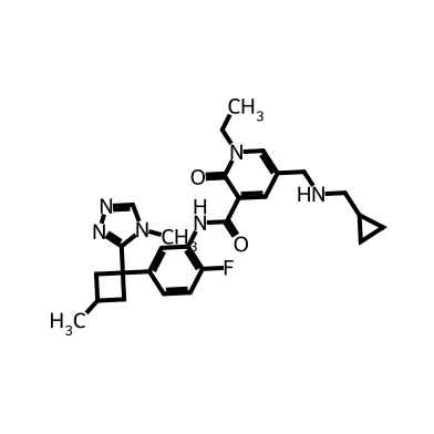 CCn1cc(CNCC2CC2)cc(C(=O)Nc2cc(C3(c4nncn4C)CC(C)C3)ccc2F)c1=O